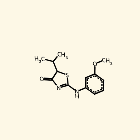 COc1cccc(NC2=NC(=O)C(C(C)C)S2)c1